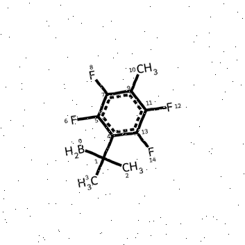 BC(C)(C)c1c(F)c(F)c(C)c(F)c1F